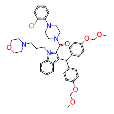 COCOc1ccc(C(c2ccc(OCOC)cc2)c2c(C(=O)N3CCN(c4ccccc4Cl)CC3)n(CCCN3CCOCC3)c3ccccc23)cc1